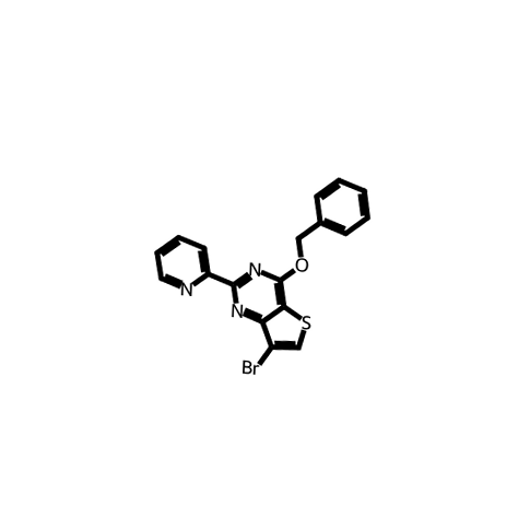 Brc1csc2c(OCc3ccccc3)nc(-c3ccccn3)nc12